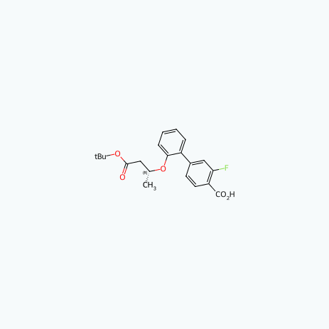 C[C@H](CC(=O)OC(C)(C)C)Oc1ccccc1-c1ccc(C(=O)O)c(F)c1